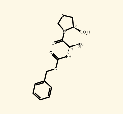 CC[C@H](C)[C@H](NC(=O)OCc1ccccc1)C(=O)N1CSC[C@H]1C(=O)O